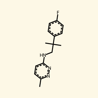 Cc1ccc(NCC(C)(C)c2ccc(F)cc2)nn1